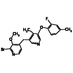 COc1c(Cc2cncc(Oc3ccc(C)cc3F)c2C)ccnc1Br